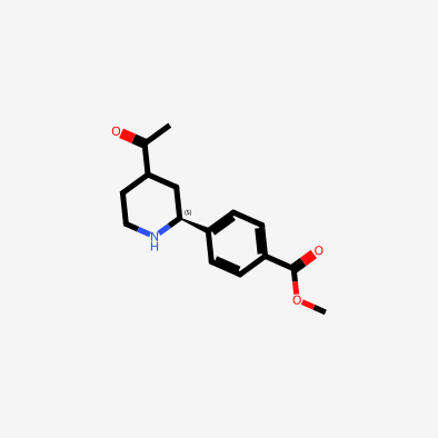 COC(=O)c1ccc([C@@H]2CC(C(C)=O)CCN2)cc1